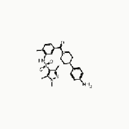 Cc1ccc(C(=O)N2CCC(c3ccc(N)cc3)CC2)cc1NS(=O)(=O)c1c(C)nn(C)c1C